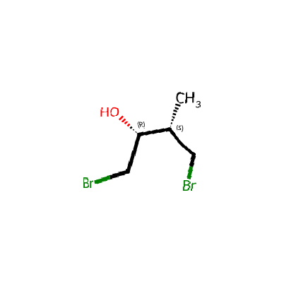 C[C@H](CBr)[C@@H](O)CBr